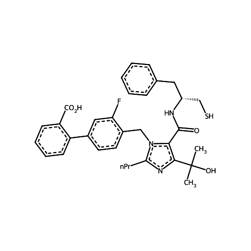 CCCc1nc(C(C)(C)O)c(C(=O)N[C@@H](CS)Cc2ccccc2)n1Cc1ccc(-c2ccccc2C(=O)O)cc1F